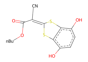 CCCCOC(=O)C(C#N)=C1Sc2c(O)ccc(O)c2S1